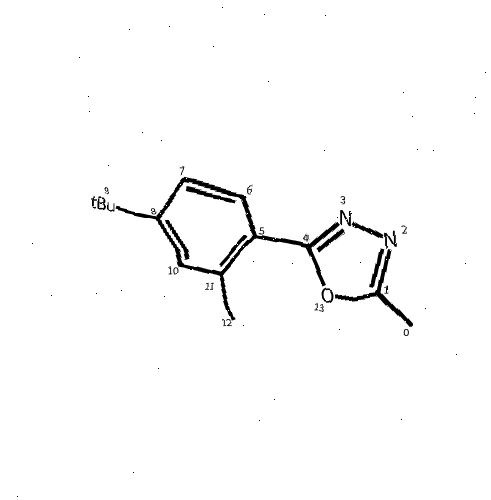 Cc1nnc(-c2ccc(C(C)(C)C)cc2C)o1